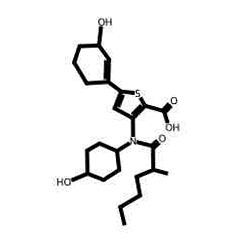 CCCCC(C)C(=O)N(c1cc(C2=CC(O)CCC2)sc1C(=O)O)C1CCC(O)CC1